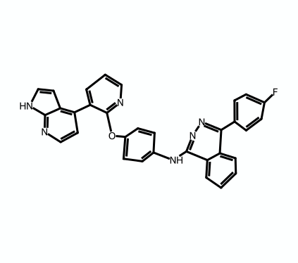 Fc1ccc(-c2nnc(Nc3ccc(Oc4ncccc4-c4ccnc5[nH]ccc45)cc3)c3ccccc23)cc1